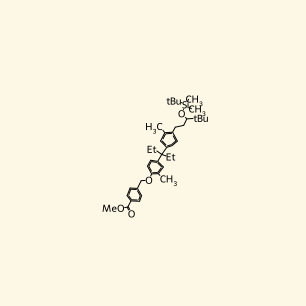 CCC(CC)(c1ccc(CCC(O[Si](C)(C)C(C)(C)C)C(C)(C)C)c(C)c1)c1ccc(OCc2ccc(C(=O)OC)cc2)c(C)c1